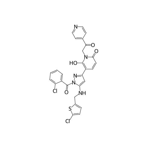 O=C(Cn1c(O)c(-c2cc(NCc3ccc(Cl)s3)n(C(=O)c3ccccc3Cl)n2)ccc1=O)c1ccncc1